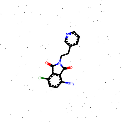 Nc1ccc(Cl)c2c1C(=O)N(CCc1cccnc1)C2=O